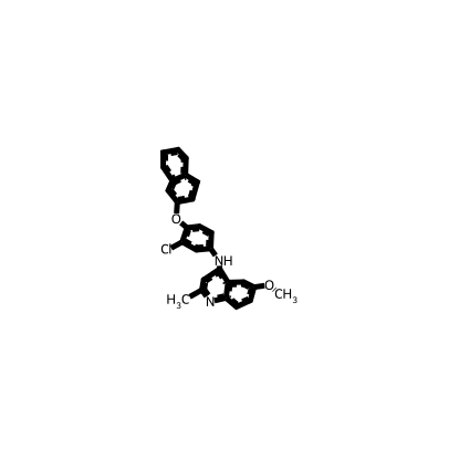 COc1ccc2nc(C)cc(Nc3ccc(Oc4ccc5ccccc5c4)c(Cl)c3)c2c1